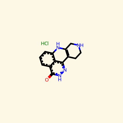 Cl.O=c1[nH]nc2c3c(cccc13)NC1=C2CCNC1